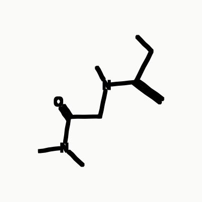 C=C(CC)N(C)CC(=O)N(C)C